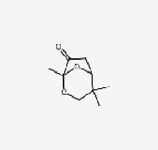 CC12OCC(C)(C)C(CC1=O)O2